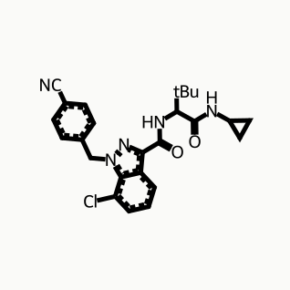 CC(C)(C)C(NC(=O)c1nn(Cc2ccc(C#N)cc2)c2c(Cl)cccc12)C(=O)NC1CC1